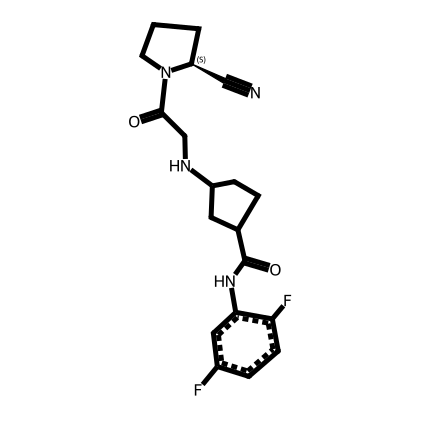 N#C[C@@H]1CCCN1C(=O)CNC1CCC(C(=O)Nc2cc(F)ccc2F)C1